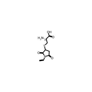 C=CN1C(=O)CC(SC[C@H](N)C(=O)O)C1=O